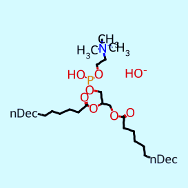 CCCCCCCCCCCCCCCC(=O)OCC(CO[P@](O)OCC[N+](C)(C)C)OC(=O)CCCCCCCCCCCCCCC.[OH-]